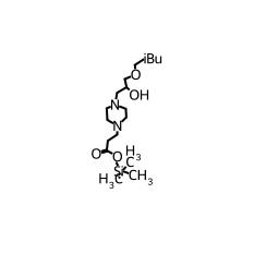 CCC(C)COCC(O)CN1CCN(CCC(=O)OC[Si](C)(C)C)CC1